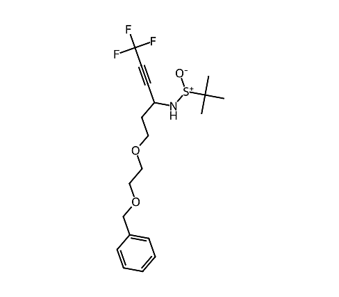 CC(C)(C)[S+]([O-])NC(C#CC(F)(F)F)CCOCCOCc1ccccc1